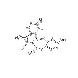 C[C@H]1Cc2ccc(C(C)(C)C)cc2C=NN1C(=O)N(C)c1ccc(Cl)cc1